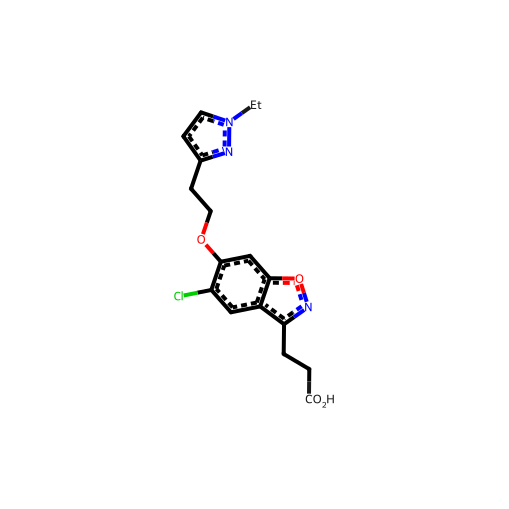 CCn1ccc(CCOc2cc3onc(CCC(=O)O)c3cc2Cl)n1